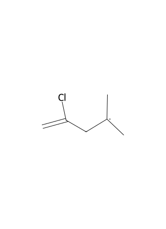 C=C(Cl)C[C](C)C